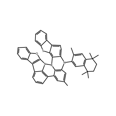 Cc1cc2c3c(c1)N(c1cc4c(cc1C)C(C)(C)CCC4(C)C)c1ccc4c(sc5ccccc54)c1B3n1c3oc4ccccc4c3c3cccc-2c31